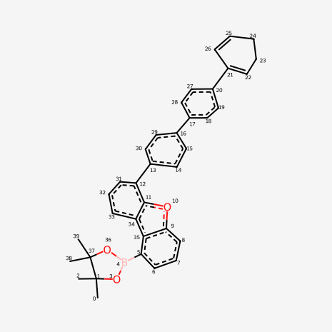 CC1(C)OB(c2cccc3oc4c(-c5ccc(-c6ccc(C7=CCCC=C7)cc6)cc5)cccc4c23)OC1(C)C